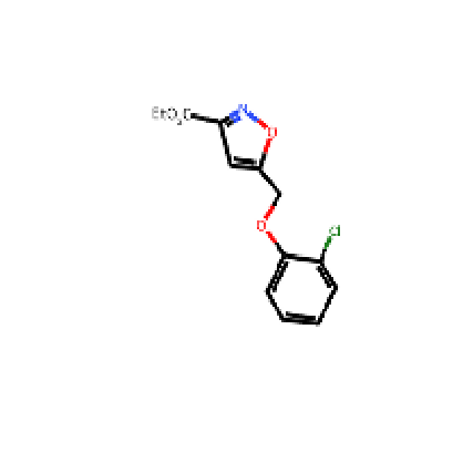 CCOC(=O)c1cc(COc2ccccc2Cl)on1